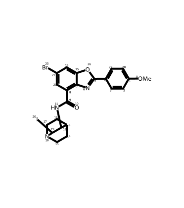 COc1ccc(-c2nc3c(C(=O)NC4C5CCN(CC5)C4I)cc(Br)cc3o2)cc1